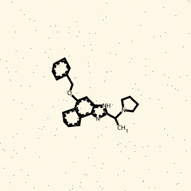 CC(c1nc2c(cc(OCc3ccccc3)c3ccccc32)[nH]1)N1CCCC1